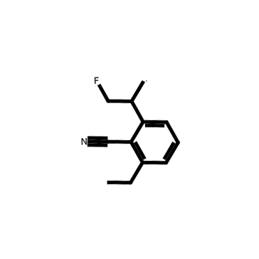 [CH2]C(CF)c1cccc(CC)c1C#N